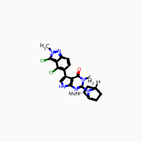 CN[C@@H]1C[C@@H]2CCC1N2c1nc2[nH]cc(-c3ccc4nn(C)c(Cl)c4c3Cl)c2c(=O)n1C